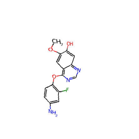 COc1cc2c(Oc3ccc(N)cc3F)ncnc2cc1O